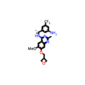 COc1cc2c(N[C@H](C)c3cc(N)cc(C(F)(F)F)c3)nc(C)nc2cc1OCC1COC1